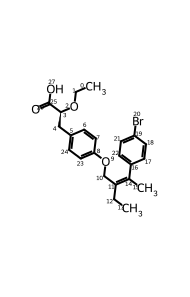 CCO[C@@H](Cc1ccc(OCC(CC)=C(C)c2ccc(Br)cc2)cc1)C(=O)O